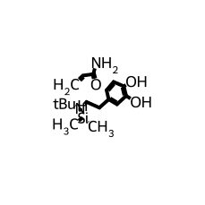 C=CC(N)=O.C[SiH](C)N(CCc1ccc(O)c(O)c1)C(C)(C)C